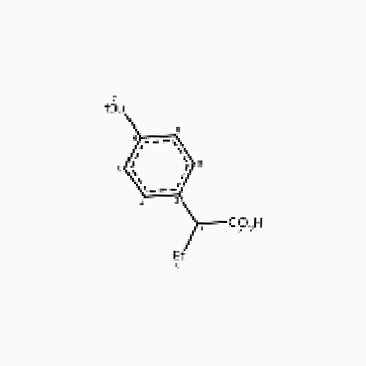 CCC(C(=O)O)c1ccc(C(C)(C)C)cc1